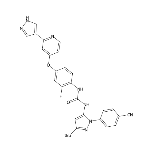 CC(C)(C)c1cc(NC(=O)Nc2ccc(Oc3ccnc(-c4cn[nH]c4)c3)cc2F)n(-c2ccc(C#N)cc2)n1